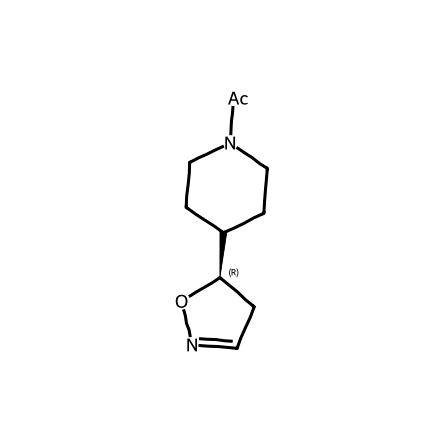 CC(=O)N1CCC([C@H]2CC=NO2)CC1